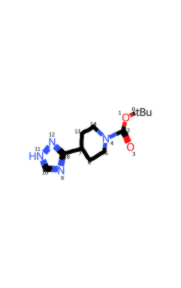 CC(C)(C)OC(=O)N1CCC(c2nc[nH]n2)CC1